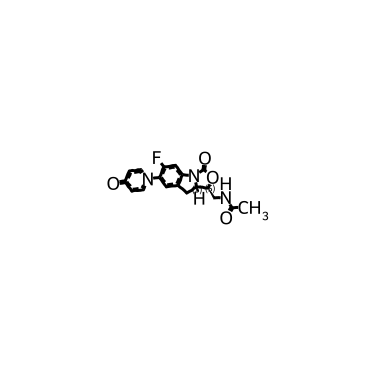 CC(=O)NC[C@@H]1OC(=O)N2c3cc(F)c(-n4ccc(=O)cc4)cc3C[C@@H]12